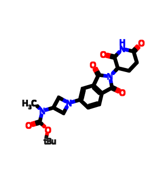 CN(C(=O)OC(C)(C)C)C1CN(c2ccc3c(c2)C(=O)N(C2CCC(=O)NC2=O)C3=O)C1